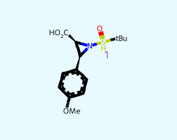 COc1ccc([C@H]2[C@@H](C(=O)O)N2[SH](=O)(I)C(C)(C)C)cc1